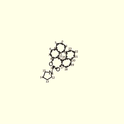 c1ccc2c(c1)ccc1op(N3CCCC3)oc3ccc4ccccc4c3c12